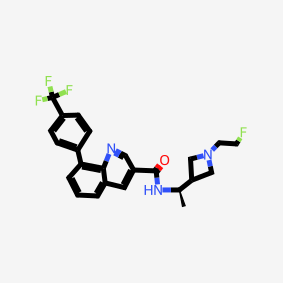 C[C@@H](NC(=O)c1cnc2c(-c3ccc(C(F)(F)F)cc3)cccc2c1)C1CN(CCF)C1